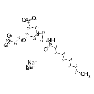 CCCCCCCCCC(=O)NCCN(CCOCCC(=O)[O-])CCC(=O)[O-].[Na+].[Na+]